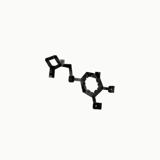 N#Cc1cc(OC[C@@H]2CCN2)cnc1Cl